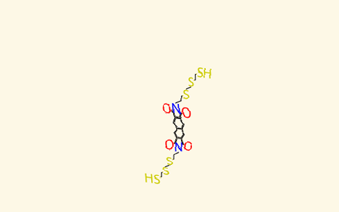 O=c1c2cc3cc4c(=O)n(CCCSCCSCCS)c(=O)c4cc3cc2c(=O)n1CCCSCCSCCS